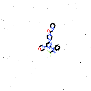 O=C(CN1CCCCC1)N1CCN(c2cc(N3CCOCC3)nc(-n3c(C(F)F)nc4ccccc43)n2)CC1